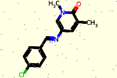 Cc1cc(/N=C/c2ccc(Cl)cc2)cn(C)c1=O